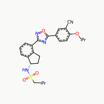 CC(C)CS(=O)(=O)N[C@H]1CCc2c(-c3noc(-c4ccc(OC(C)C)c(C#N)c4)n3)cccc21